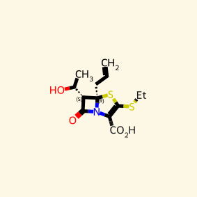 C=CC[C@]12SC(SCC)=C(C(=O)O)N1C(=O)[C@@H]2C(C)O